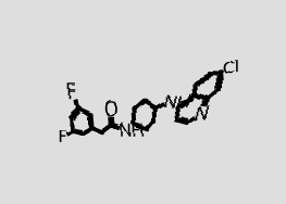 O=C(Cc1cc(F)cc(F)c1)NC1CCC(Nc2ccnc3cc(Cl)ccc23)CC1